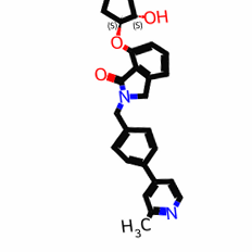 Cc1cc(-c2ccc(CN3Cc4cccc(O[C@H]5CCC[C@@H]5O)c4C3=O)cc2)ccn1